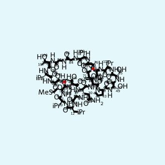 CSCC[C@H](NC(=O)[C@@H](NC(=O)[C@H](CC(C)C)NC(=O)[C@H](C)N)C(C)C)C(=O)N[C@H](C(=O)N[C@@H](CCC(N)=O)C(=O)N[C@H](C(=O)N1CCC[C@H]1C(=O)N[C@@H](CO)C(=O)N[C@@H](CO)C(=O)N[C@H](C(=O)N[C@@H](CO)C(=O)N[C@@H](C)C(=O)N[C@@H](C)C(=O)N[C@H](C(=O)NCC(=O)NCC(=O)N[C@H](C(=O)N[C@H](C(=O)N[C@H](C(=O)O)[C@@H](C)O)C(C)C)[C@@H](C)O)C(C)C)C(C)C)[C@@H](C)O)[C@@H](C)O